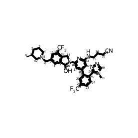 C[C@H]1CCCN(Cc2cc3c(c(C(F)(F)F)c2)CN(c2cc(-c4cc(C(F)(F)F)ccc4-c4nncn4C)cc(NCCCC#N)n2)C3O)C1